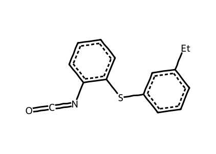 CCc1cccc(Sc2ccccc2N=C=O)c1